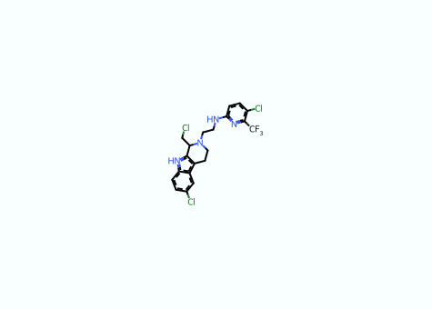 FC(F)(F)c1nc(NCCN2CCc3c([nH]c4ccc(Cl)cc34)C2CCl)ccc1Cl